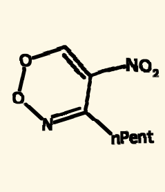 CCCCCC1=NOOC=C1[N+](=O)[O-]